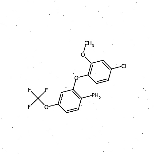 COc1cc(Cl)ccc1Oc1cc(OC(F)(F)F)ccc1P